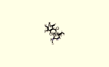 C=C1C(C(=O)NC(=CC)/C=C\C(=N/C)OC)=C(O)C(F)=C(C)N1C